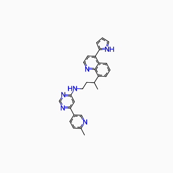 Cc1ccc(-c2cc(NCCC(C)c3cccc4c(-c5ccc[nH]5)ccnc34)ncn2)cn1